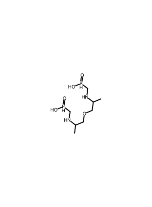 CC(COCC(C)NC[PH](=O)O)NC[PH](=O)O